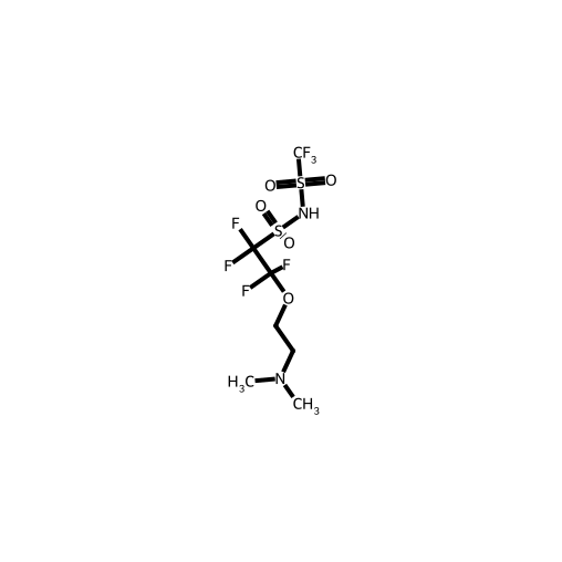 CN(C)CCOC(F)(F)C(F)(F)S(=O)(=O)NS(=O)(=O)C(F)(F)F